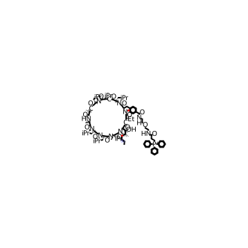 C/C=C/C[C@@H](C)[C@@H](O)[C@H]1C(=O)C[C@@H](CC)C(=O)N(C)C(Cc2ccc(C(=O)NCCOCCNC(=O)CC[P+](c3ccccc3)(c3ccccc3)c3ccccc3)cc2)C(=O)N(C)[C@@H](CC(C)C)C(=O)C[C@@H](C(C)C)C(=O)N(C)[C@@H](CC(C)C)C(=O)C[C@@H](C)C(=O)N[C@H](C)C(=O)N(C)[C@@H](CC(C)C)C(=O)N(C)[C@@H](CC(C)C)C(=O)N(C)[C@@H](C(C)C)C(=O)N1C